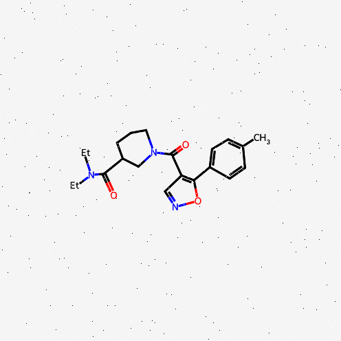 CCN(CC)C(=O)C1CCCN(C(=O)c2cnoc2-c2ccc(C)cc2)C1